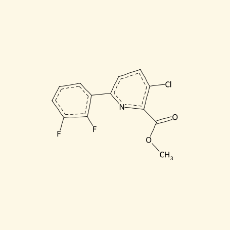 COC(=O)c1nc(-c2cccc(F)c2F)ccc1Cl